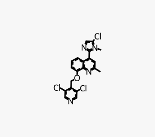 Cc1cc(-c2ncc(Cl)n2C)c2cccc(OCc3c(Cl)cncc3Cl)c2n1